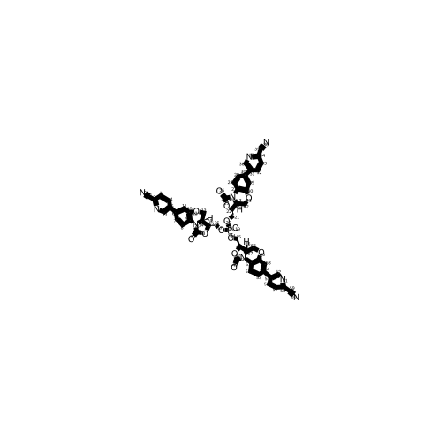 N#Cc1ccc(-c2ccc3c(c2)OC[C@H]2[C@H](COP(=O)(OC[C@@H]4OC(=O)N5c6ccc(-c7ccc(C#N)nc7)cc6OC[C@@H]45)OC[C@@H]4OC(=O)N5c6ccc(-c7ccc(C#N)nc7)cc6OC[C@@H]45)OC(=O)N32)cn1